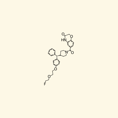 O=C1COc2ccc(C(=O)N3CCC([C@H](c4ccccc4)c4ccc(OCCOCCF)cc4)CC3)cc2N1